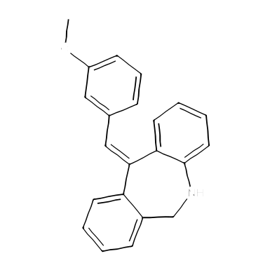 COc1cccc(C=C2c3ccccc3CNc3ccccc32)c1